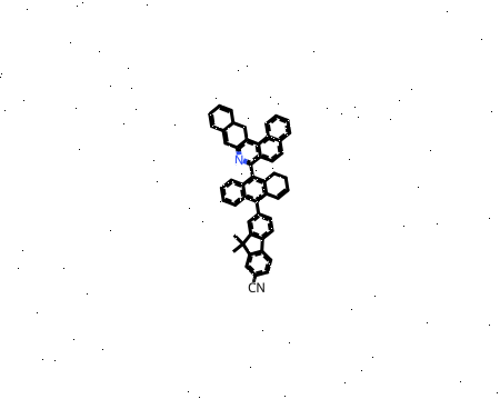 CC1(C)c2cc(C#N)ccc2-c2ccc(-c3c4c(c(-c5nc6c(c7c5ccc5ccccc57)CC5C=CC=CC5=C6)c5ccccc35)CCC=C4)cc21